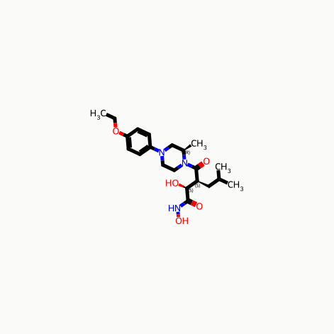 CCOc1ccc(N2CCN(C(=O)[C@@H](CC(C)C)[C@H](O)C(=O)NO)[C@H](C)C2)cc1